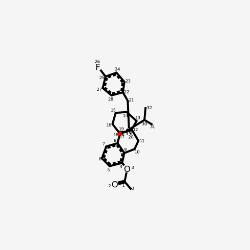 CC(=O)Oc1cccc2c1CCC13CCCCC21CCN(Cc1ccc(F)cc1)C3C(C)C